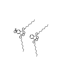 CCCCCCCCOC(=O)c1ccccc1C(=O)OCCCCCCCC.CCCCCCCCOC(=O)c1ccccc1C(=O)OCCCCCCCC.O=S